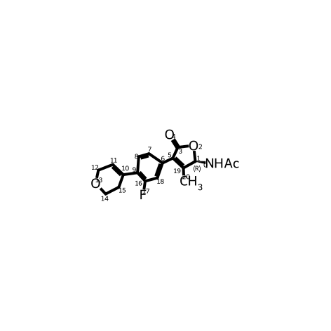 CC(=O)N[C@@H]1OC(=O)C(c2ccc(C3=CCOCC3)c(F)c2)=C1C